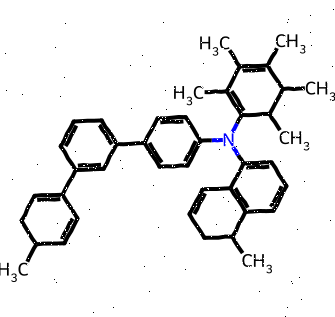 CC1=C(C)C(C)C(C)C(N(c2ccc(-c3cccc(C4=CCC(C)C=C4)c3)cc2)c2cccc3c2C=CCC3C)=C1C